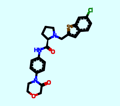 O=C(Nc1ccc(N2CCOCC2=O)cc1)[C@H]1CCCN1Cc1cc2ccc(Cl)cc2s1